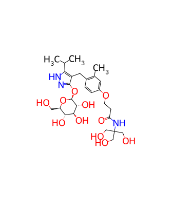 Cc1cc(OCCC(=O)NC(CO)(CO)CO)ccc1Cc1c(O[C@@H]2O[C@H](CO)[C@@H](O)[C@H](O)[C@H]2O)n[nH]c1C(C)C